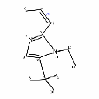 C/C=C\c1ncc(C(C)(C)C)n1CC